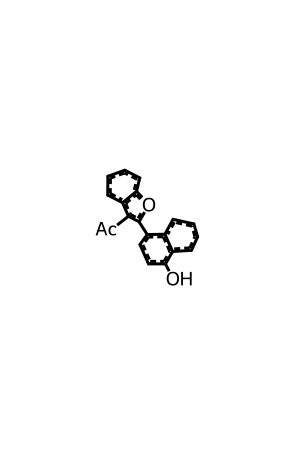 CC(=O)c1c(-c2ccc(O)c3ccccc23)oc2ccccc12